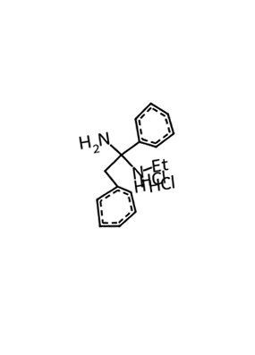 CCNC(N)(Cc1ccccc1)c1ccccc1.Cl.Cl